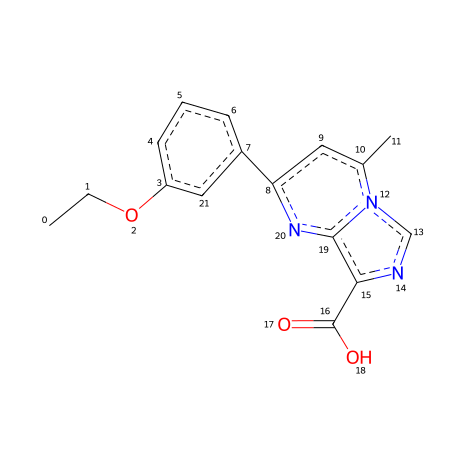 CCOc1cccc(-c2cc(C)n3cnc(C(=O)O)c3n2)c1